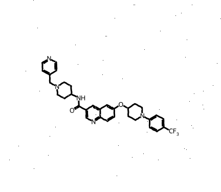 O=C(NC1CCN(Cc2ccncc2)CC1)c1cnc2ccc(OC3CCN(c4ccc(C(F)(F)F)cc4)CC3)cc2c1